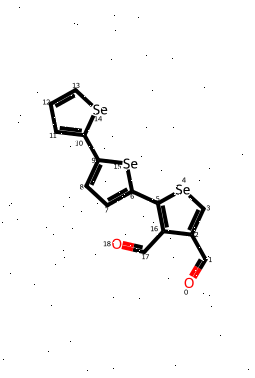 O=Cc1c[se]c(-c2ccc(-c3ccc[se]3)[se]2)c1C=O